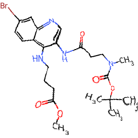 COC(=O)CCCNc1c(NC(=O)CCN(C)C(=O)OC(C)(C)C)cnc2cc(Br)ccc12